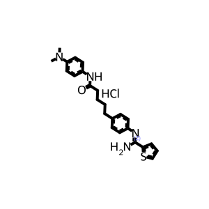 CN(C)c1ccc(NC(=O)CCCCc2ccc(/N=C(\N)c3cccs3)cc2)cc1.Cl